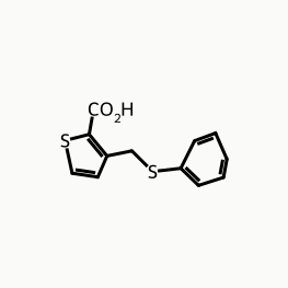 O=C(O)c1sccc1CSc1ccccc1